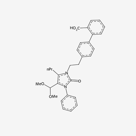 CCCc1c(C(OC)OC)n(-c2ccccc2)c(=O)n1CCc1ccc(-c2ccccc2C(=O)O)cc1